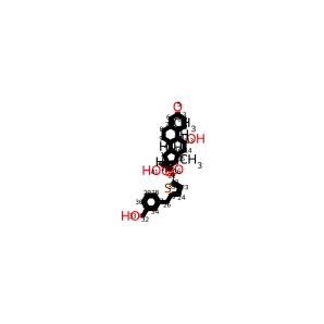 C[C@]12C=CC(=O)C=C1CC[C@@H]1[C@@H]2[C@@H](O)C[C@@]2(C)[C@H]1C[C@H]1O[C@@H](c3ccc(Cc4cccc(CO)c4)s3)O[C@]12C(=O)CO